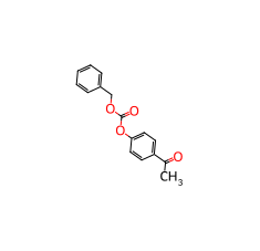 CC(=O)c1ccc(OC(=O)OCc2ccccc2)cc1